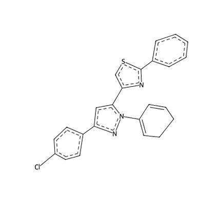 Clc1ccc(-c2cc(-c3csc(-c4ccccc4)n3)n(C3=CCCC=C3)n2)cc1